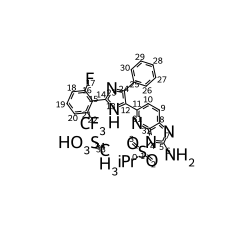 CC(C)S(=O)(=O)n1c(N)nc2ccc(-c3[nH]c(-c4c(F)cccc4C(F)(F)F)nc3-c3ccccc3)nc21.CS(=O)(=O)O